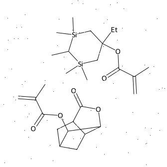 C=C(C)C(=O)OC1(CC)C[Si](C)(C)C(C)[Si](C)(C)C1.C=C(C)C(=O)OC1C2CC3C(=O)OC1C3C2